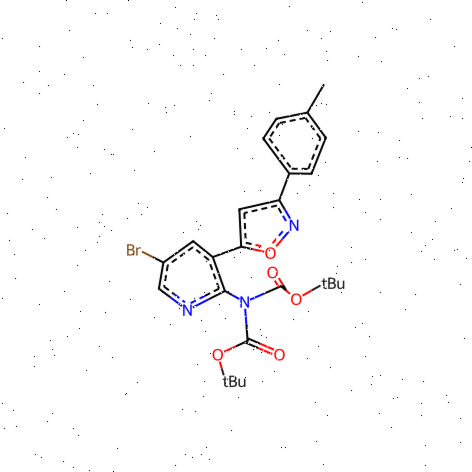 Cc1ccc(-c2cc(-c3cc(Br)cnc3N(C(=O)OC(C)(C)C)C(=O)OC(C)(C)C)on2)cc1